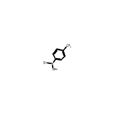 CCN(c1ccc(C(F)(F)F)cc1)C(C)(C)C